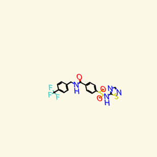 O=C(NCc1ccc(C(F)(F)F)cc1)c1ccc(S(=O)(=O)Nc2ncns2)cc1